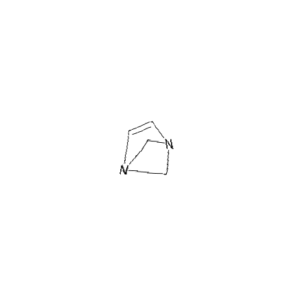 C1=CN2CN1C2